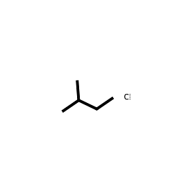 CCC(C)C.[C]